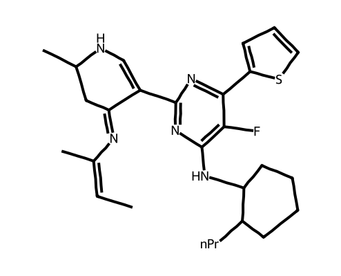 C/C=C(C)\N=C1/CC(C)NC=C1c1nc(NC2CCCCC2CCC)c(F)c(-c2cccs2)n1